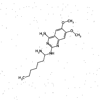 CCCCCCC(N)Nc1nc(N)c2cc(OC)c(OC)cc2n1